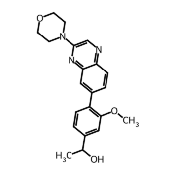 COc1cc(C(C)O)ccc1-c1ccc2ncc(N3CCOCC3)nc2c1